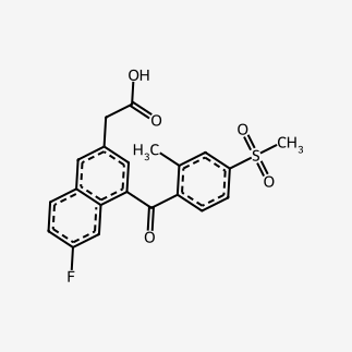 Cc1cc(S(C)(=O)=O)ccc1C(=O)c1cc(CC(=O)O)cc2ccc(F)cc12